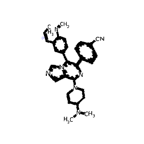 C=Nc1ccc(-c2c(-c3ccc(C#N)cc3)nc(N3CCC(N(C)C)CC3)c3cncn23)cc1/C=C\C